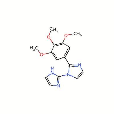 COc1cc(-c2nccn2-c2ncc[nH]2)cc(OC)c1OC